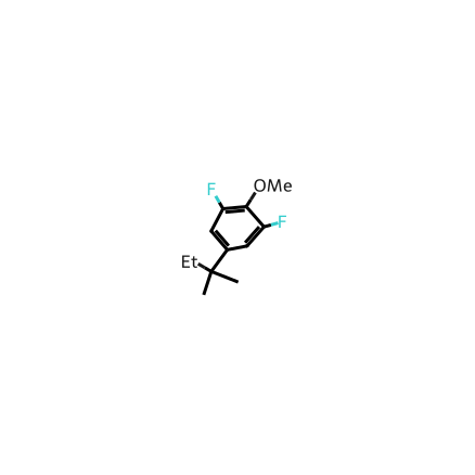 CCC(C)(C)c1cc(F)c(OC)c(F)c1